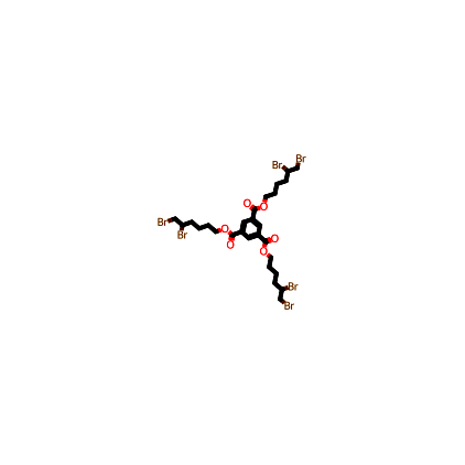 O=C(OCCCCC(Br)CBr)c1cc(C(=O)OCCCCC(Br)CBr)cc(C(=O)OCCCCC(Br)CBr)c1